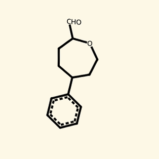 O=CC1CCC(c2ccccc2)CCO1